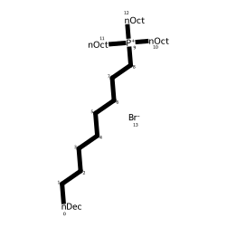 CCCCCCCCCCCCCCCCCC[P+](CCCCCCCC)(CCCCCCCC)CCCCCCCC.[Br-]